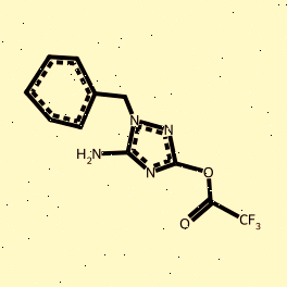 Nc1nc(OC(=O)C(F)(F)F)nn1Cc1ccccc1